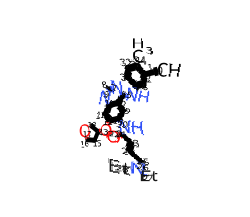 C#Cc1cc(Nc2ncnc3cc(OC4CCOC4)c(NC(=O)/C=C/CN(CC)CC)cc23)ccc1C